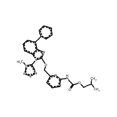 CC(C)COC(=O)Nc1cccc(COc2nc3c(-c4ccccc4)cccc3n2-c2nnnn2C)n1